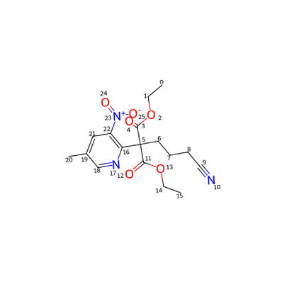 CCOC(=O)C(CCCC#N)(C(=O)OCC)c1ncc(C)cc1[N+](=O)[O-]